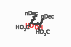 CCCCCCCCCCCCCC(CCCC(=O)O)CC(O)CO.CCCCCCCCCCCCCCCCCC(=O)O